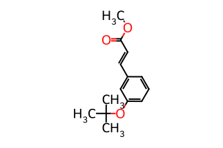 COC(=O)/C=C/c1cccc(OC(C)(C)C)c1